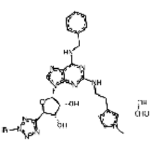 CC(C)n1nnc([C@H]2O[C@@H](n3cnc4c(NCc5ccccc5)nc(NCCc5cn(C)cn5)nc43)[C@H](O)[C@@H]2O)n1.O=CO